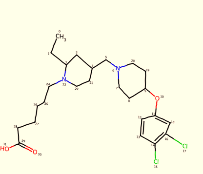 CCC1CC(CN2CCC(Oc3ccc(Cl)c(Cl)c3)CC2)CCN1CCCCCC(=O)O